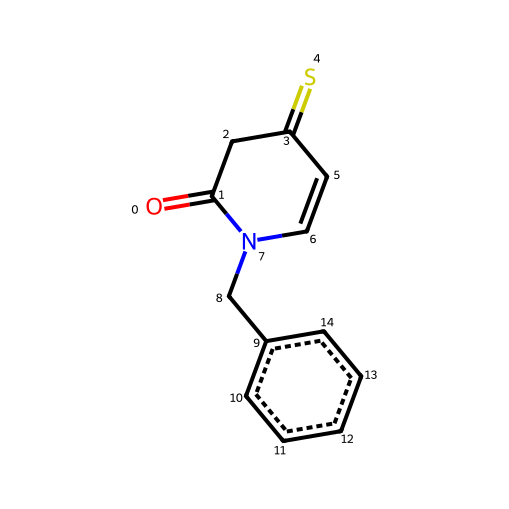 O=C1CC(=S)C=CN1Cc1ccccc1